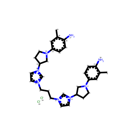 Cc1cc(N2CCC(n3cc[n+](CCCn4cc[n+](C5CCN(c6ccc(N)c(C)c6)C5)c4)c3)C2)ccc1N.[Cl-].[Cl-]